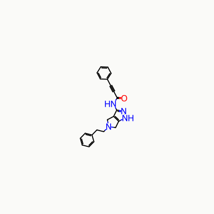 O=C(C#Cc1ccccc1)Nc1n[nH]c2c1CN(CCc1ccccc1)C2